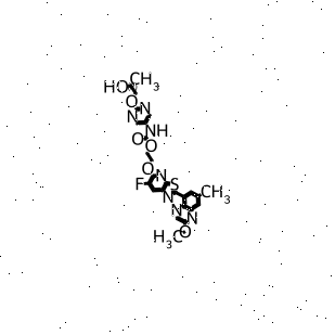 COc1cnc2c(-c3nc4cc(F)c(OCCOC(=O)Nc5cnc(OC[C@@H](C)O)nc5)nc4s3)cc(C)cc2n1